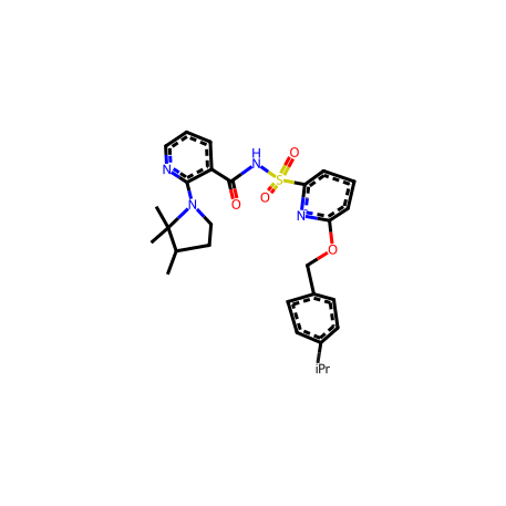 CC(C)c1ccc(COc2cccc(S(=O)(=O)NC(=O)c3cccnc3N3CCC(C)C3(C)C)n2)cc1